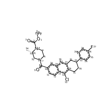 CCCOC(=O)N1CCN(C(=O)c2ccc3c(Cl)c4c(nc3c2)CC(c2ccc(F)cn2)CC4)C[C@@H]1C